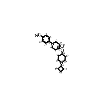 Cl.N#Cc1ccc(N2CCC(OC3CCN(C4CCC4)CC3)CC2)cc1